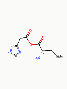 CSC[C@H](N)C(=O)OC(=O)Cc1c[nH]cn1